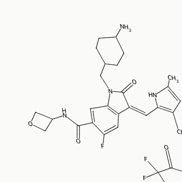 Cc1cc(C)c(/C=C2\C(=O)N(CC3CCC(N)CC3)c3cc(C(=O)NC4COC4)c(F)cc32)[nH]1.O=C(O)C(F)(F)F